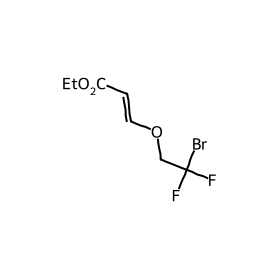 CCOC(=O)C=COCC(F)(F)Br